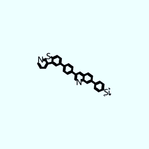 C[Si](C)(C)c1ccc(-c2ccc3cc(-c4ccc(-c5ccc6sc7ncccc7c6c5)cc4)cnc3c2)cc1